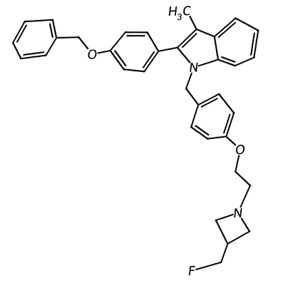 Cc1c(-c2ccc(OCc3ccccc3)cc2)n(Cc2ccc(OCCN3CC(CF)C3)cc2)c2ccccc12